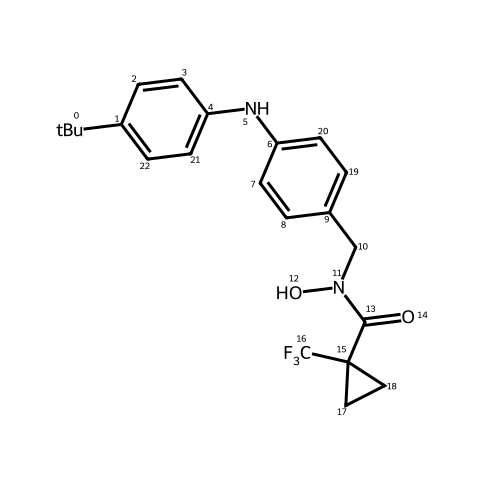 CC(C)(C)c1ccc(Nc2ccc(CN(O)C(=O)C3(C(F)(F)F)CC3)cc2)cc1